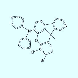 CC1(C)c2ccccc2-c2ccc(N(c3ccccc3)c3ccccc3)c(Oc3cccc(Br)c3Cl)c21